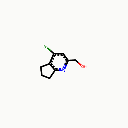 OCc1cc(Br)c2c(n1)CCC2